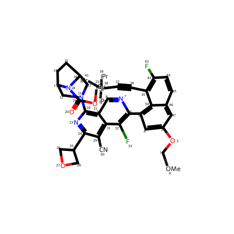 COCOc1cc(-c2ncc3c(N4CC5CCC(C4)N5C(=O)OC(C)(C)C)nc(C4COC4)c(C#N)c3c2F)c2c(C#C[Si](C(C)C)(C(C)C)C(C)C)c(F)ccc2c1